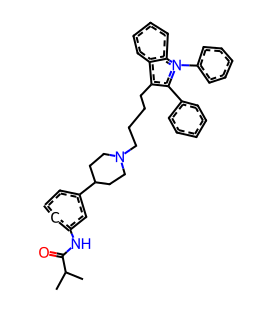 CC(C)C(=O)Nc1cccc(C2CCN(CCCCc3c(-c4ccccc4)n(-c4ccccc4)c4ccccc34)CC2)c1